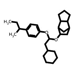 CCC(C)c1ccc(OC(CC2CCCCC2)OC2CC3CC2C2CCCC32)cc1